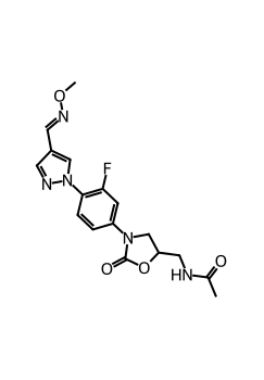 CON=Cc1cnn(-c2ccc(N3CC(CNC(C)=O)OC3=O)cc2F)c1